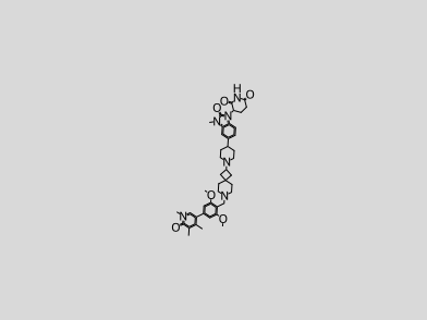 COc1cc(-c2cn(C)c(=O)c(C)c2C)cc(OC)c1CN1CCC2(CC1)CC(N1CCC(c3ccc4c(c3)n(C)c(=O)n4C3CCC(=O)NC3=O)CC1)C2